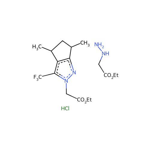 CCOC(=O)CNN.CCOC(=O)Cn1nc2c(c1C(F)(F)F)C(C)CC2C.Cl